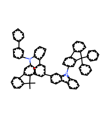 CC1(C)c2ccccc2-c2cc(N(c3cccc(-c4ccccc4)c3)c3ccccc3-c3cccc(-c4ccc5c6ccccc6n(-c6ccc7c(c6)C(c6ccccc6)(c6ccccc6)c6ccccc6-7)c5c4)c3)ccc21